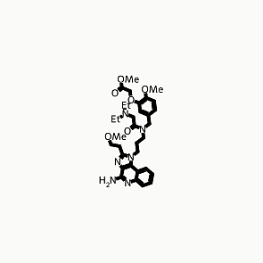 CCN(CC)CC(=O)N(CCCn1c(CCOC)nc2c(N)nc3ccccc3c21)Cc1ccc(OC)c(OCC(=O)OC)c1